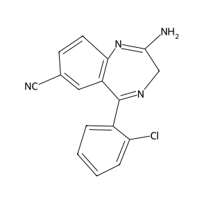 N#Cc1ccc2c(c1)C(c1ccccc1Cl)=NCC(N)=N2